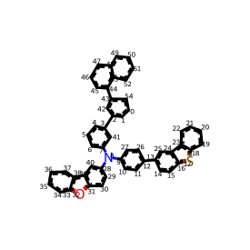 c1cc(-c2cccc(N(c3ccc(-c4ccc5sc6ccccc6c5c4)cc3)c3ccc4oc5ccccc5c4c3)c2)cc(-c2cccc3ccccc23)c1